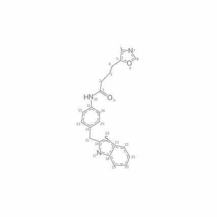 O=C(CCCc1cnco1)Nc1ccc(Cc2nc3ccccc3s2)cc1